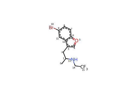 CC(Cc1coc2ccc(Br)cc12)NCC(F)(F)F